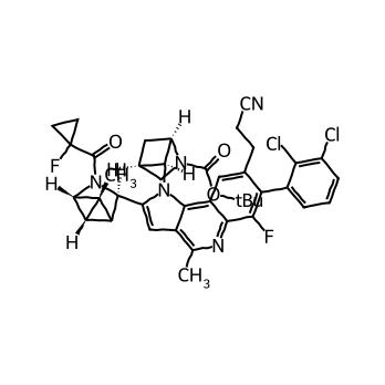 Cc1nc2c(F)c(-c3cccc(Cl)c3Cl)c(CCC#N)cc2c2c1cc([C@H]1C3[C@@H]4[C@H](N1C(=O)C1(F)CC1)[C@]34C)n2[C@H]1[C@@H]2C[C@H]1N(C(=O)OC(C)(C)C)C2